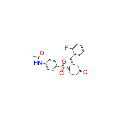 CC(=O)Nc1ccc(S(=O)(=O)N2CCC(=O)CC2=Cc2ccccc2F)cc1